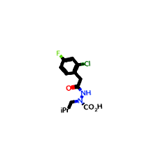 CC(C)CN(NC(=O)Cc1ccc(F)cc1Cl)C(=O)O